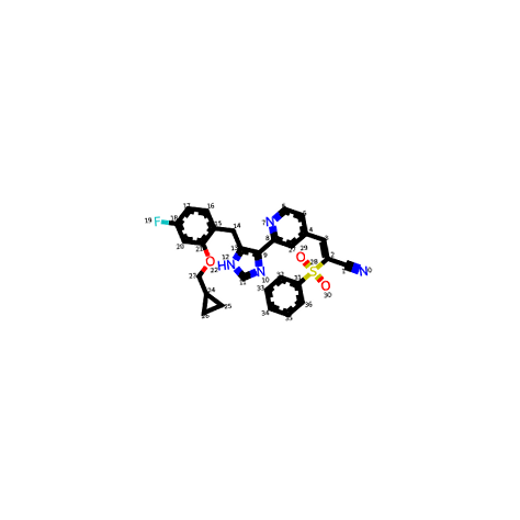 N#CC(=Cc1ccnc(-c2nc[nH]c2Cc2ccc(F)cc2OCC2CC2)c1)S(=O)(=O)c1ccccc1